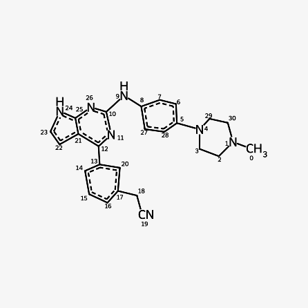 CN1CCN(c2ccc(Nc3nc(-c4cccc(CC#N)c4)c4cc[nH]c4n3)cc2)CC1